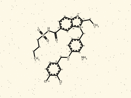 CCCCS(=O)(=O)NC(=O)c1ccc2nc(CC)n(Cc3ccc(OCc4ccc(Cl)c(Cl)c4)cc3)c2c1.N